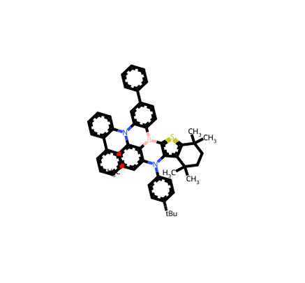 Cc1cc2c3c(c1)N(c1ccc(C(C)(C)C)cc1)c1c(sc4c1C(C)(C)CCC4(C)C)B3c1ccc(-c3ccccc3)cc1N2c1ccccc1-c1ccccc1